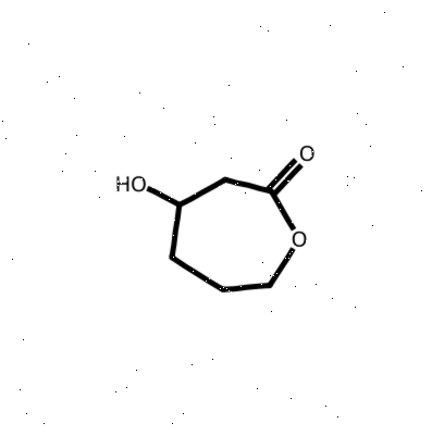 O=C1CC(O)CCCO1